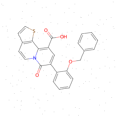 O=C(O)c1cc(-c2ccccc2OCc2ccccc2)c(=O)n2ccc3ccsc3c12